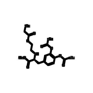 CCCCC(=O)Oc1ccc(C[C@H](NCCOC(=O)CC(C)(C)C)C(=O)OC)cc1OC(=O)CCCC